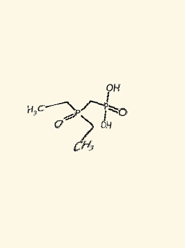 CCP(=O)(CC)CP(=O)(O)O